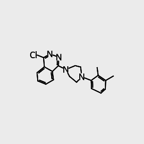 Cc1cccc(N2CCN(c3nnc(Cl)c4ccccc34)CC2)c1C